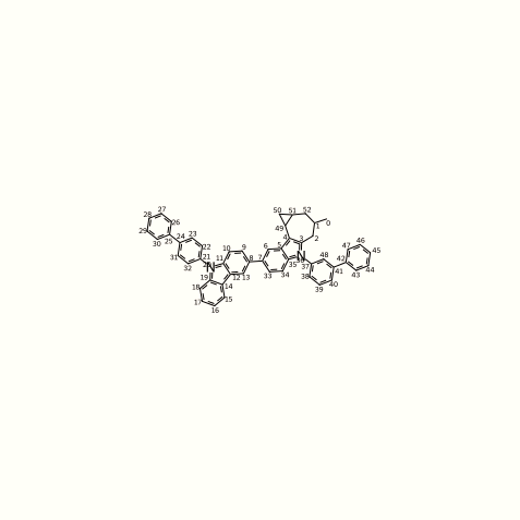 CC1Cc2c(c3cc(-c4ccc5c(c4)c4ccccc4n5-c4ccc(-c5ccccc5)cc4)ccc3n2-c2cccc(-c3ccccc3)c2)C2CC2C1